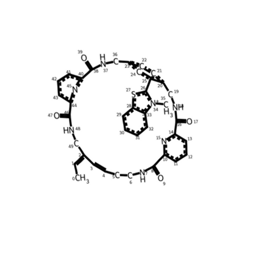 C/C=C1\C=C/CCNC(=O)c2cccc(n2)C(=O)NCc2ccc(cc2-c2sc3ccccc3[n+]2C)CNC(=O)c2cccc(n2)C(=O)NC1